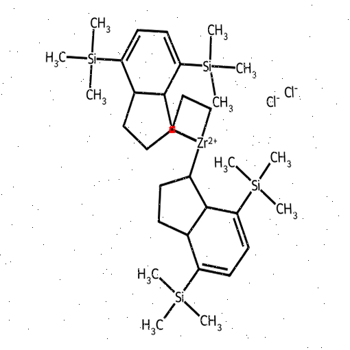 C[Si](C)(C)C1=CC=C([Si](C)(C)C)C2C1CC[CH]2[Zr+2]1([CH]2CCC3C([Si](C)(C)C)=CC=C([Si](C)(C)C)C32)[CH2]C[CH2]1.[Cl-].[Cl-]